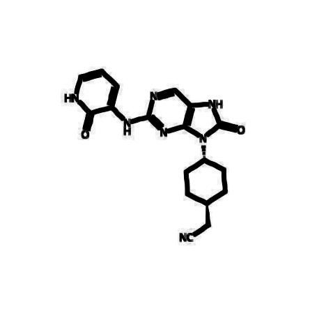 N#CC[C@H]1CC[C@H](n2c(=O)[nH]c3cnc(Nc4ccc[nH]c4=O)nc32)CC1